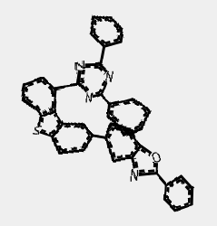 c1ccc(-c2nc(-c3ccccc3)nc(-c3cccc4sc5ccc(-c6ccc7oc(-c8ccccc8)nc7c6)cc5c34)n2)cc1